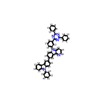 c1ccc(-c2nc(-c3ccccc3)nc(-c3cccc(-n4c5ccc(-c6ccc7c(c6)c6ccccc6n7-c6ccccc6)cc5c5ncccc54)c3)n2)cc1